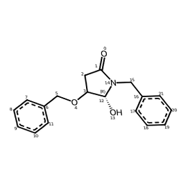 O=C1CC(OCc2ccccc2)[C@@H](O)N1Cc1ccccc1